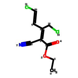 CCOC(=O)/C(C#N)=C(/C=C/Cl)CCl